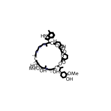 COC1[C@H](O)/C(C)=C/[C@@H](C)[C@@H](O)C[C@@H](C(C)C[C@@H]2CCC(O)[C@H](OC)C2)OC(=O)[C@@H]2CCCCN2C(=O)C(=O)[C@]2(O)O[C@@H](CC[C@H]2C)C[C@H](c2c[nH]c3c(C)cccc23)/C(C)=C/C=C/C=C/[C@@H](C)C[C@@H](C)[C@@H]1O